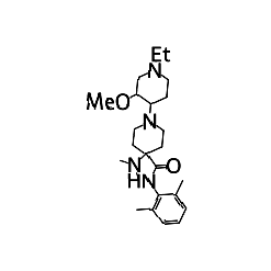 CCN1CCC(N2CCC(C(=O)Nc3c(C)cccc3C)(N(C)C)CC2)C(OC)C1